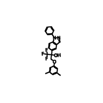 Cc1cc(C)cc(OCC(O)(c2ccc3c(cnn3-c3ccccc3)c2)C(F)(F)F)c1